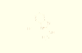 Cl.Cn1c(NN)nc2ccccc21